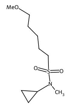 COCCCCCS(=O)(=O)N(C)C1CC1